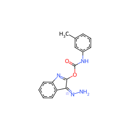 Cc1cccc(NC(=O)OC2=Nc3ccccc3/C2=N/N)c1